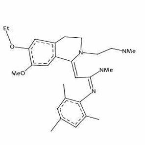 CCOc1cc2c(cc1OC)/C(=C/C(=N\c1c(C)cc(C)cc1C)NC)N(CCNC)CC2